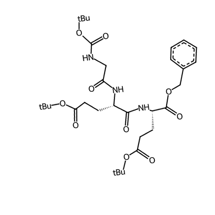 CC(C)(C)OC(=O)CC[C@H](NC(=O)CNC(=O)OC(C)(C)C)C(=O)N[C@@H](CCC(=O)OC(C)(C)C)C(=O)OCc1ccccc1